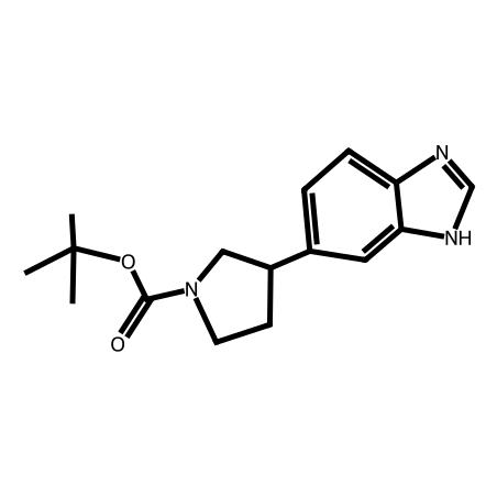 CC(C)(C)OC(=O)N1CCC(c2ccc3nc[nH]c3c2)C1